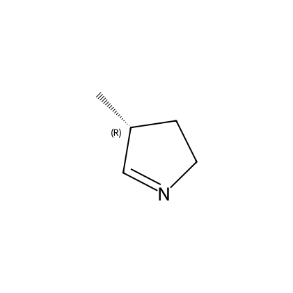 C[C@H]1C=NCC1